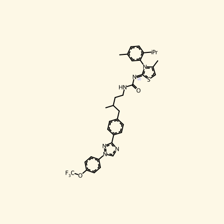 Cc1ccc(C(C)C)c(-n2c(C)cs/c2=N\C(=O)NCCC(C)Cc2ccc(-c3ncn(-c4ccc(OC(F)(F)F)cc4)n3)cc2)c1